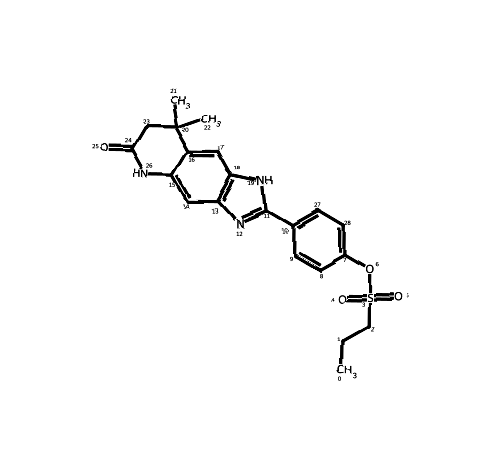 CCCS(=O)(=O)Oc1ccc(-c2nc3cc4c(cc3[nH]2)C(C)(C)CC(=O)N4)cc1